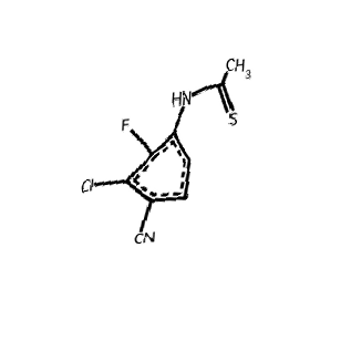 CC(=S)Nc1ccc(C#N)c(Cl)c1F